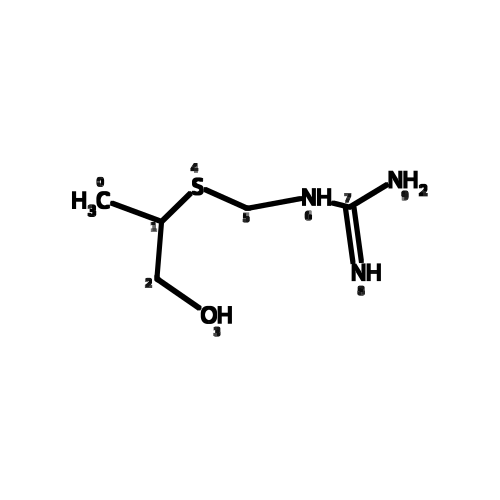 CC(CO)SCNC(=N)N